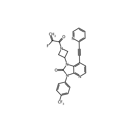 C=C(F)C(=O)N1CC(n2c(=O)n(-c3ccc(C(F)(F)F)cc3)c3nccc(C#Cc4ccccn4)c32)C1